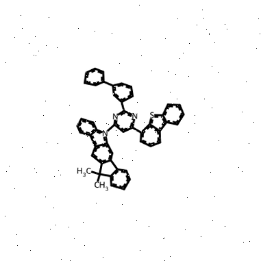 CC1(C)c2ccccc2-c2cc3c(cc21)c1ccccc1n3-c1cc(-c2cccc3c2sc2ccccc23)nc(-c2cccc(-c3ccccc3)c2)n1